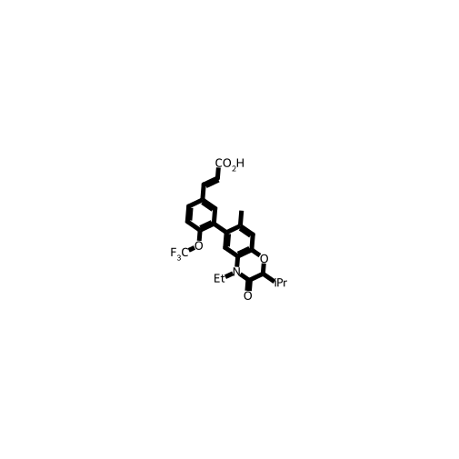 CCN1C(=O)C(C(C)C)Oc2cc(C)c(-c3cc(C=CC(=O)O)ccc3OC(F)(F)F)cc21